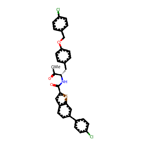 COC(=O)[C@H](Cc1ccc(OCc2ccc(Cl)cc2)cc1)NC(=O)c1cc2ccc(-c3ccc(Cl)cc3)cc2s1